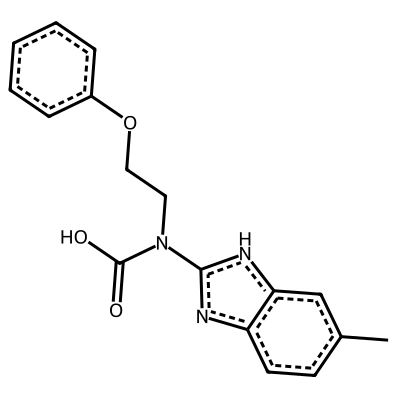 Cc1ccc2nc(N(CCOc3ccccc3)C(=O)O)[nH]c2c1